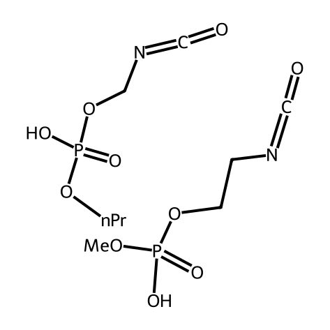 CCCOP(=O)(O)OCN=C=O.COP(=O)(O)OCCN=C=O